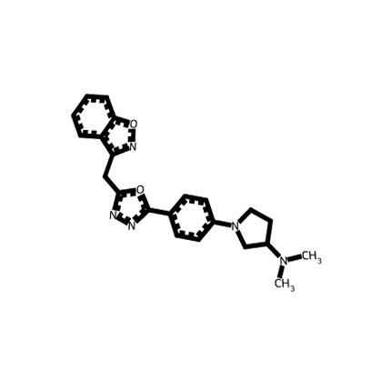 CN(C)C1CCN(c2ccc(-c3nnc(Cc4noc5ccccc45)o3)cc2)C1